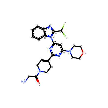 NCC(=O)N1CC=C(c2nc(N3CCOCC3)cc(-n3c(C(F)F)nc4ccccc43)n2)CC1